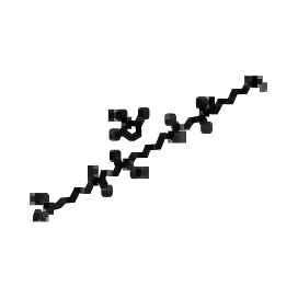 CC(=O)N(O)CCCCCNC(=O)CCC(=O)N(O)CCCCCNC(=O)CCC(=O)N(O)CCCCCN.O=C1CCC(=O)N1O